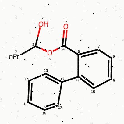 CCCC(O)OC(=O)c1ccccc1-c1ccccc1